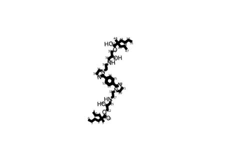 CCCCC(C)(CCC)C(=O)OCC(O)CNCCN1CCN=C1c1ccc(C2=NCCN2CCNCC(O)COC(O)C(C)(CCC)CCCC)cc1